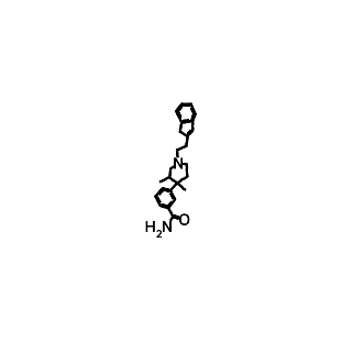 CC1CN(CCC2=Cc3ccccc3C2)CCC1(C)c1cccc(C(N)=O)c1